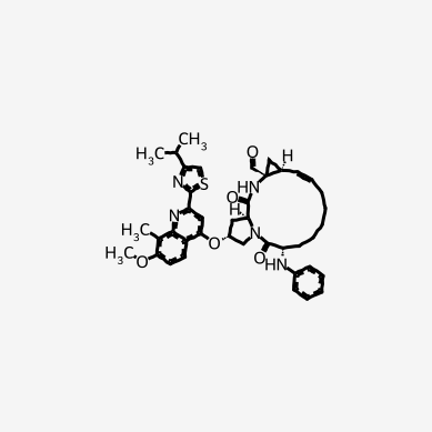 COc1ccc2c(O[C@@H]3C[C@H]4C(=O)N[C@]5(C=O)C[C@H]5/C=C\CCCCC[C@H](Nc5ccccc5)C(=O)N4C3)cc(-c3nc(C(C)C)cs3)nc2c1C